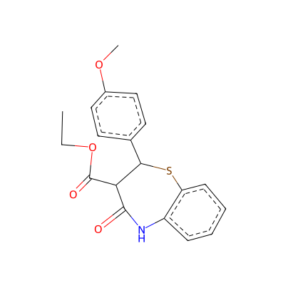 CCOC(=O)C1C(=O)Nc2ccccc2SC1c1ccc(OC)cc1